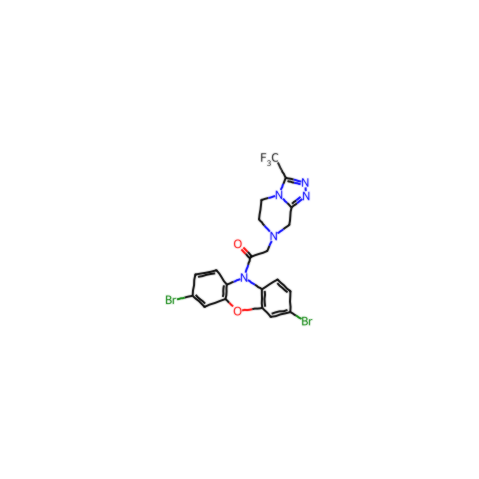 O=C(CN1CCn2c(nnc2C(F)(F)F)C1)N1c2ccc(Br)cc2Oc2cc(Br)ccc21